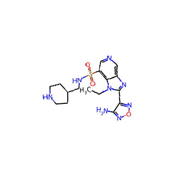 CCn1c(-c2nonc2N)nc2cncc(S(=O)(=O)NCC3CCNCC3)c21